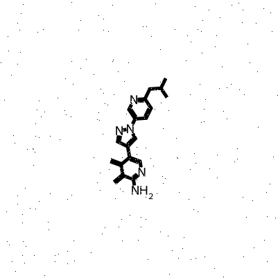 C=c1c(-c2cnn(-c3ccc(CC(C)C)nc3)c2)cnc(N)c1=C